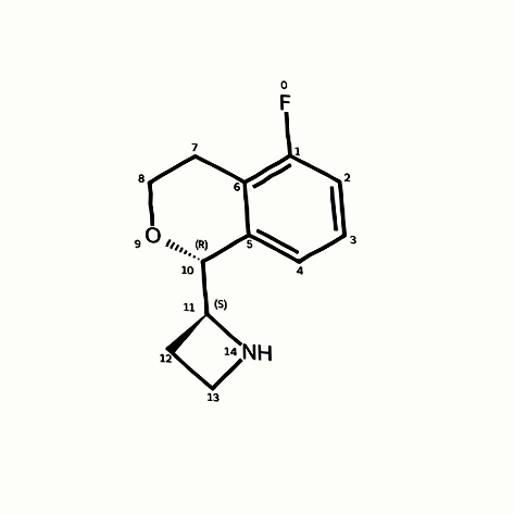 Fc1cccc2c1CCO[C@H]2[C@@H]1CCN1